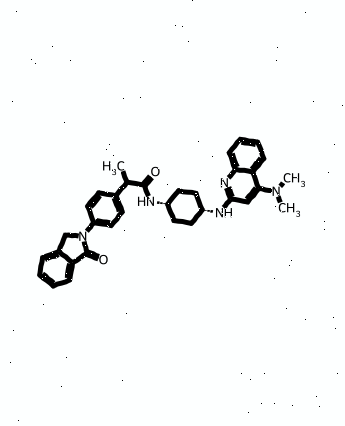 CC(C(=O)N[C@H]1CC[C@@H](Nc2cc(N(C)C)c3ccccc3n2)CC1)c1ccc(N2Cc3ccccc3C2=O)cc1